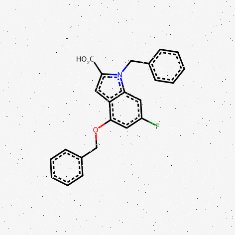 O=C(O)c1cc2c(OCc3ccccc3)cc(F)cc2n1Cc1ccccc1